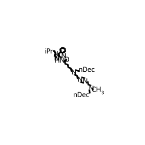 CCCCCCCCCCCCN(C)CCCN1CCN(CCCN(CCCCCCCCCCCC)CCCCCC(=O)Nc2nc3ccccc3c3c2ncn3CC(C)C)CC1